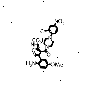 COc1ccc(N)c(-c2noc(C)c2C(=O)N2CCN(c3ccc([N+](=O)[O-])cc3Cl)CC2)c1.NC(=O)O